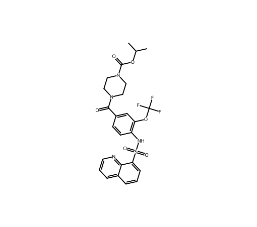 CC(C)OC(=O)N1CCN(C(=O)c2ccc(NS(=O)(=O)c3cccc4cccnc34)c(OC(F)(F)F)c2)CC1